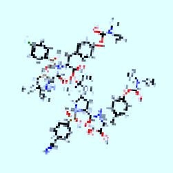 CN(C)C(=O)Oc1ccc(C[C@@H](C(=O)OC(C)(C)C)N(C(=O)[C@H]2NC(C)(C)CS2)S(=O)(=O)c2ccc(F)cc2)cc1.CN(C)C(=O)Oc1ccc(C[C@H](NC(=O)[C@@H]2CCCN2S(=O)(=O)c2ccc(C#N)cc2)C(=O)O)cc1